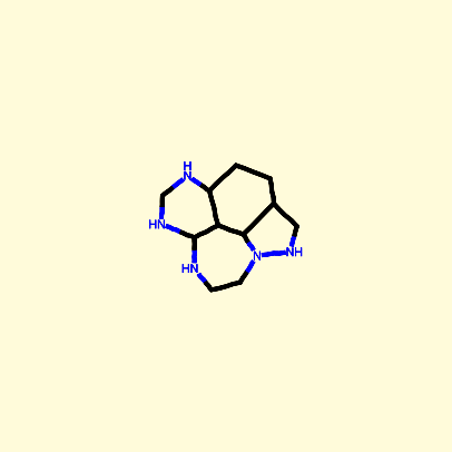 C1CN2NCC3CCC4NCNC(N1)C4C32